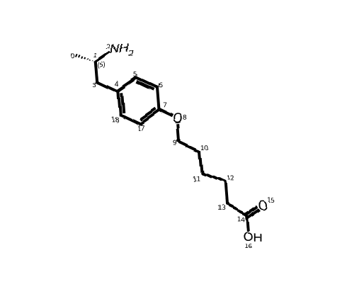 C[C@H](N)Cc1ccc(OCCCCCC(=O)O)cc1